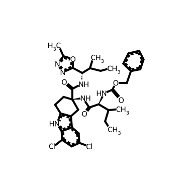 CCC(C)[C@H](NC(=O)OCc1ccccc1)C(=O)N[C@]1(C(=O)N[C@H](c2nnc(C)o2)C(C)CC)CCc2[nH]c3c(Cl)cc(Cl)cc3c2C1